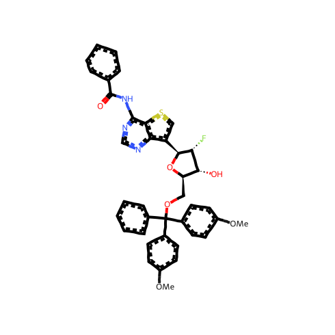 COc1ccc(C(OC[C@H]2O[C@@H](c3csc4c(NC(=O)c5ccccc5)ncnc34)[C@H](F)[C@@H]2O)(c2ccccc2)c2ccc(OC)cc2)cc1